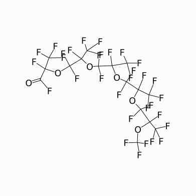 O=C(F)C(F)(OC(F)(F)C(F)(OC(F)(F)C(F)(OC(F)(F)C(F)(OC(F)(F)C(F)(OC(F)(F)F)C(F)(F)F)C(F)(F)F)C(F)(F)F)C(F)(F)F)C(F)(F)F